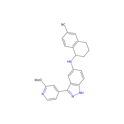 COc1cc(-c2n[nH]c3ccc(NC4CCCc5cc(C#N)ccc54)cc23)ccn1